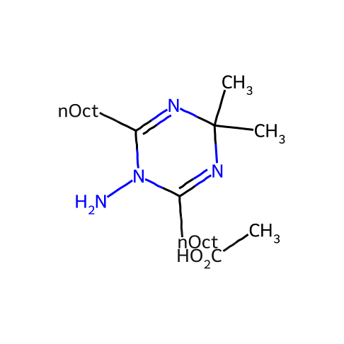 CC(=O)O.CCCCCCCCC1=NC(C)(C)N=C(CCCCCCCC)N1N